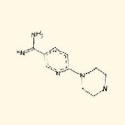 N=C(N)c1ccc(N2CC[N]CC2)nc1